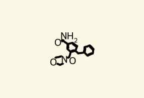 NC(=O)c1ccc(Cc2ccccc2)c(C(=O)N2CCOCC2)c1